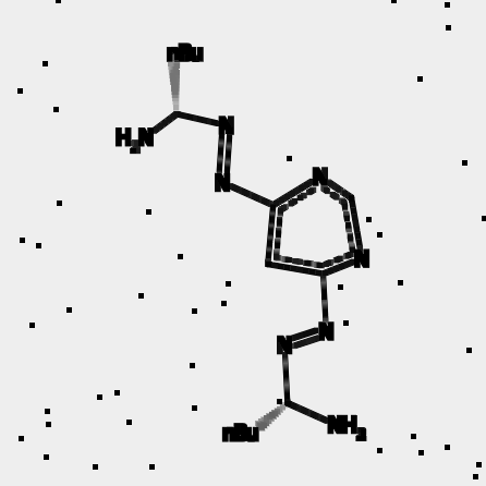 CCCC[C@@H](N)/N=N/c1cc(/N=N/[C@H](N)CCCC)ncn1